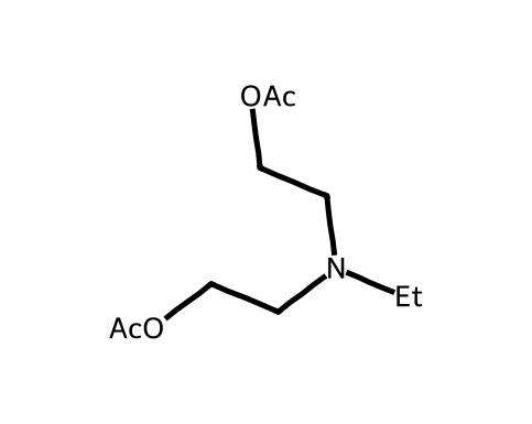 CCN(CCOC(C)=O)CCOC(C)=O